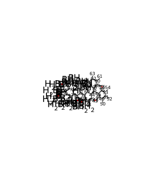 BBB(B)B(B(B)B)c1c(B(B(B)B)B(B)B)c(B(BB)B(B)B)c(B(B)B(B)B)c2c(B(B)BB)c(-c3c(C)c(C)c(C)c4c(-c5c(C)c(C)c(C)c(C)c5C)c5c(C)c(C)c(C)c(C)c5c(C)c34)c(BB)c(B)c12